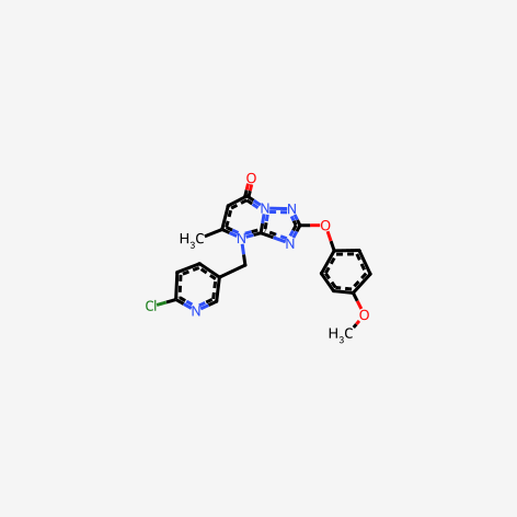 COc1ccc(Oc2nc3n(Cc4ccc(Cl)nc4)c(C)cc(=O)n3n2)cc1